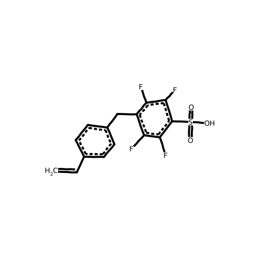 C=Cc1ccc(Cc2c(F)c(F)c(S(=O)(=O)O)c(F)c2F)cc1